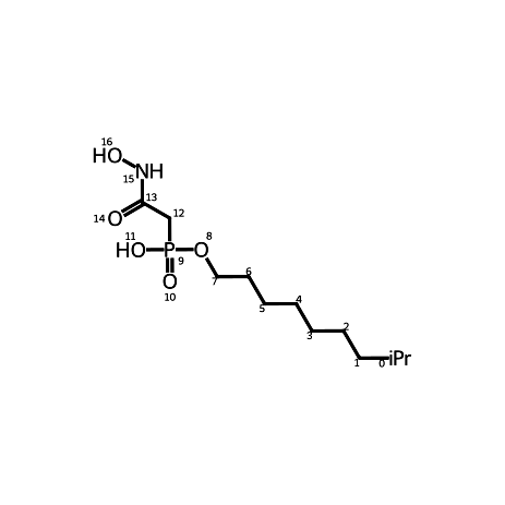 CC(C)CCCCCCCOP(=O)(O)CC(=O)NO